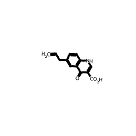 C=CCc1ccc2[nH]cc(C(=O)O)c(=O)c2c1